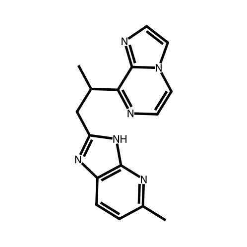 Cc1ccc2nc(CC(C)c3nccn4ccnc34)[nH]c2n1